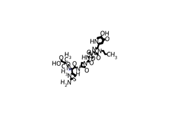 CCCn1c(-c2cc(=O)c(O)c[nH]2)nn(S(=O)(=O)NC(=O)N2C[C@H](NC(=O)/C(=N\OC(C)(C)C(=O)O)c3csc(N)n3)C2=O)c1=O